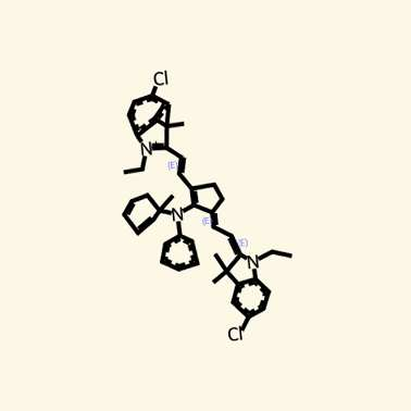 CCN1/C(=C/C=C2\CCC(/C=C/C3=[N+](CC)c4ccc(Cl)c5c4C35C)=C2N(c2ccccc2)C2(C)C=CC=CC2)C(C)(C)c2cc(Cl)ccc21